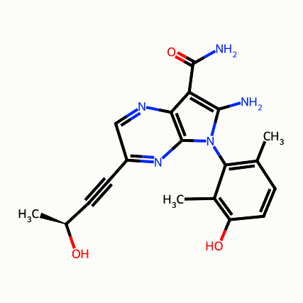 Cc1ccc(O)c(C)c1-n1c(N)c(C(N)=O)c2ncc(C#C[C@H](C)O)nc21